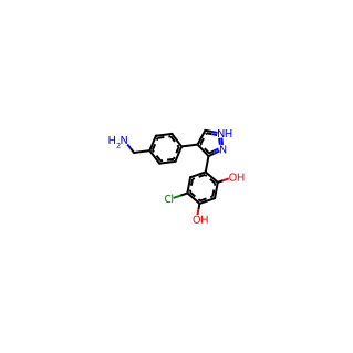 NCc1ccc(-c2c[nH]nc2-c2cc(Cl)c(O)cc2O)cc1